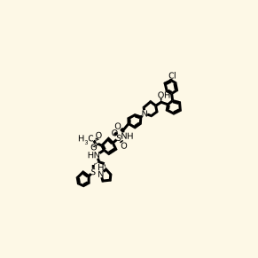 CS(=O)(=O)c1cc(S(=O)(=O)NC(=O)c2ccc(N3CCC([C@@H](O)c4ccccc4-c4ccc(Cl)cc4)CC3)cc2)ccc1N[C@@H](CSc1ccccc1)C[C@@H]1CCCN1